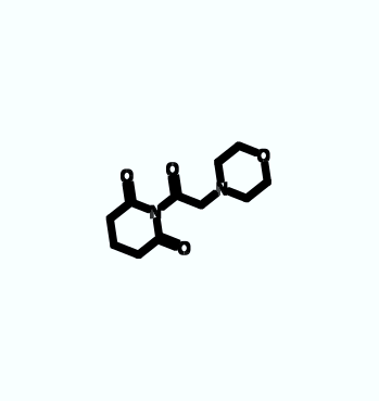 O=C1CCCC(=O)N1C(=O)CN1CCOCC1